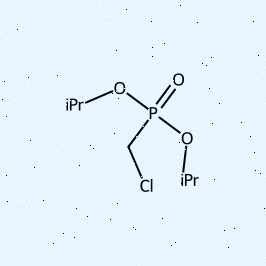 CC(C)OP(=O)(CCl)OC(C)C